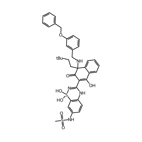 CC(C)(C)CCC1(NCc2cccc(OCc3ccccc3)c2)C(=O)C(C2=NS(O)(O)c3cc(NS(C)(=O)=O)ccc3N2)=C(O)c2ccccc21